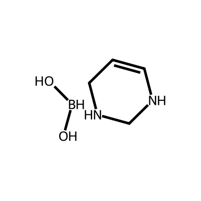 C1=CNCNC1.OBO